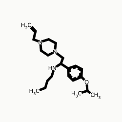 C=CCN1CCN(CC(NCCCC)c2ccc(OC(C)C)cc2)CC1